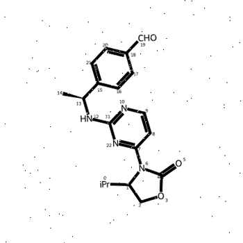 CC(C)C1COC(=O)N1c1ccnc(N[C@@H](C)c2ccc(C=O)cc2)n1